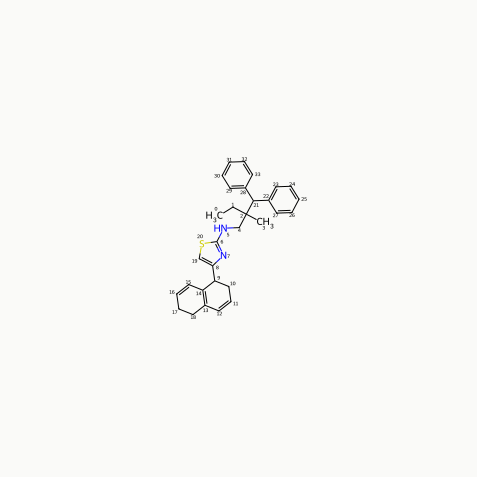 CCC(C)(CNc1nc(C2CC=CC3=C2C=CCC3)cs1)C(c1ccccc1)c1ccccc1